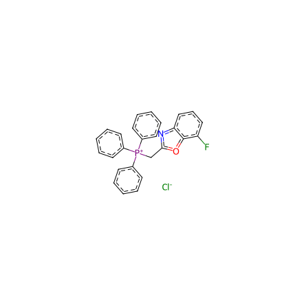 Fc1cccc2nc(C[P+](c3ccccc3)(c3ccccc3)c3ccccc3)oc12.[Cl-]